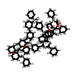 O=P(c1ccccc1)(c1ccc(-n2c3ccccc3c3cc4c(cc32)C2(c3ccccc3O4)c3ccccc3N(c3ccccc3)c3ccccc32)cc1)c1cccc(-c2ccc3c(c2)c2cc4c(cc2n3-c2cccc(-c3nc(-c5ccccc5)nc(-c5ccccc5)n3)c2)C2(c3ccccc3O4)c3ccccc3N(c3ccccc3)c3ccccc32)c1